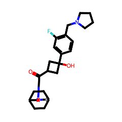 O=C(C1CC(O)(c2ccc(CN3CCCC3)c(F)c2)C1)N1CC2CCC(CC2)C1